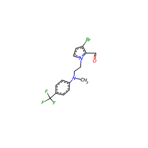 CN(CCn1ccc(Br)c1C=O)c1ccc(C(F)(F)F)cc1